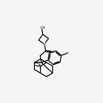 CC1(O)C2CC3CC1CC(C2)C3(CC(=O)N1CC(C#N)C1)c1ccc(F)cc1